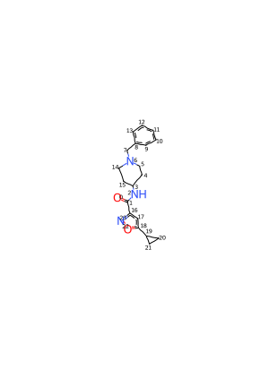 O=C(NC1CCN(Cc2ccccc2)CC1)c1cc(C2CC2)on1